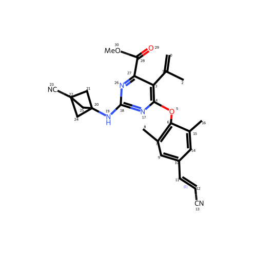 C=C(C)c1c(Oc2c(C)cc(/C=C/C#N)cc2C)nc(NC23CC(C#N)(C2)C3)nc1C(=O)OC